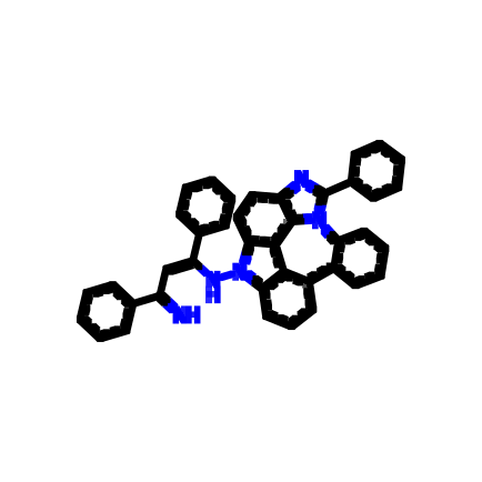 N=C(/C=C(\Nn1c2cccc3c4ccccc4n4c(-c5ccccc5)nc5ccc1c(c32)c54)c1ccccc1)c1ccccc1